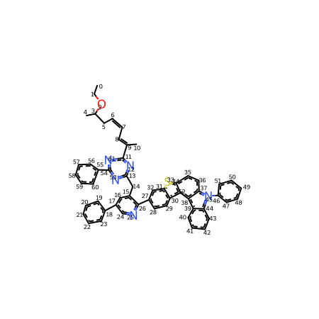 CCOC(C)C/C=C\C=C(/C)c1nc(Cc2cc(-c3ccccc3)cnc2-c2ccc3c(c2)sc2ccc4c(c5ccccc5n4-c4ccccc4)c23)nc(-c2ccccc2)n1